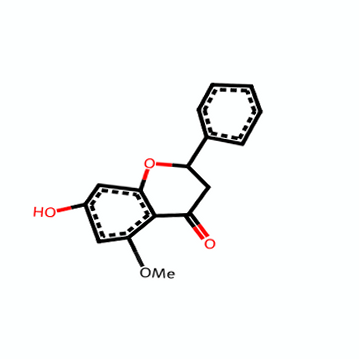 COc1cc(O)cc2c1C(=O)CC(c1ccccc1)O2